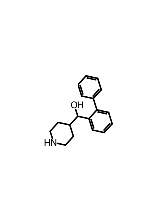 OC(c1ccccc1-c1ccccc1)C1CCNCC1